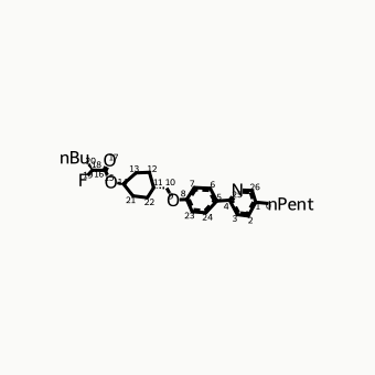 CCCCCc1ccc(-c2ccc(OC[C@H]3CC[C@H](OC(=O)[C@@H](F)CCCC)CC3)cc2)nc1